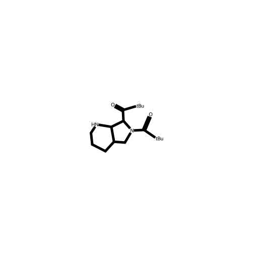 CC(C)(C)C(=O)C1C2NCCCC2CN1C(=O)C(C)(C)C